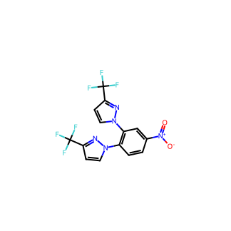 O=[N+]([O-])c1ccc(-n2ccc(C(F)(F)F)n2)c(-n2ccc(C(F)(F)F)n2)c1